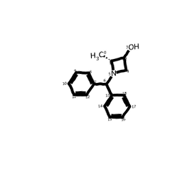 C[C@@H]1C(O)CN1C(c1ccccc1)c1ccccc1